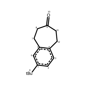 CC(C)(C)c1ccc2c(c1)CCC(=O)CC2